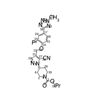 CC(C)OC(=O)N1CCC(n2ncc(COc3ccc(-c4nnn(C)n4)cc3F)c2C#N)CC1